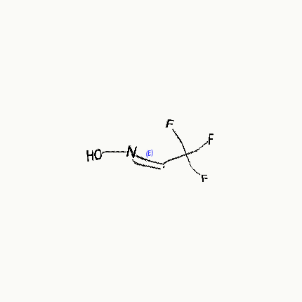 O/N=[C]/C(F)(F)F